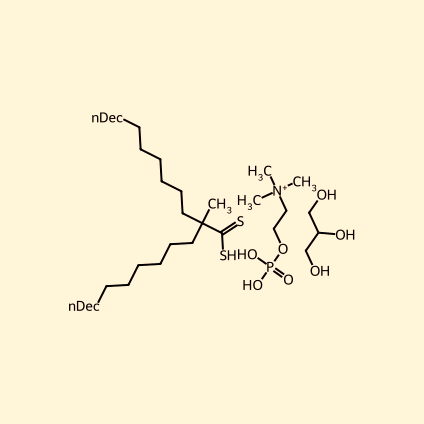 CCCCCCCCCCCCCCCCC(C)(CCCCCCCCCCCCCCCC)C(=S)S.C[N+](C)(C)CCOP(=O)(O)O.OCC(O)CO